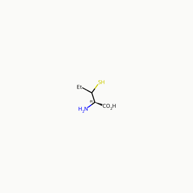 CCC(S)[C@H](N)C(=O)O